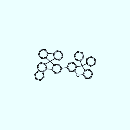 c1ccc(C2(c3ccccc3)c3ccccc3Oc3cc(-c4ccc5c(c4)C4(c6ccccc6-c6ccccc64)c4ccc6ccccc6c4-5)ccc32)cc1